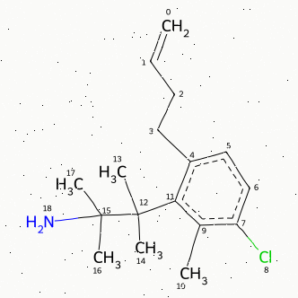 C=CCCc1ccc(Cl)c(C)c1C(C)(C)C(C)(C)N